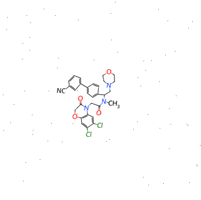 CN(C(=O)CN1C(=O)COc2cc(Cl)c(Cl)cc21)C(CN1CCOCC1)c1ccc(-c2cccc(C#N)c2)cc1